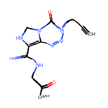 C#CCN1N=NC2=C(C(=N)NCC(=O)OC)NCN2C1=O